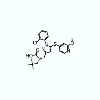 COc1cc(Sc2cc(CN(CC(C)(C)C)C(=O)O)nn2-c2ccccc2Cl)ccn1